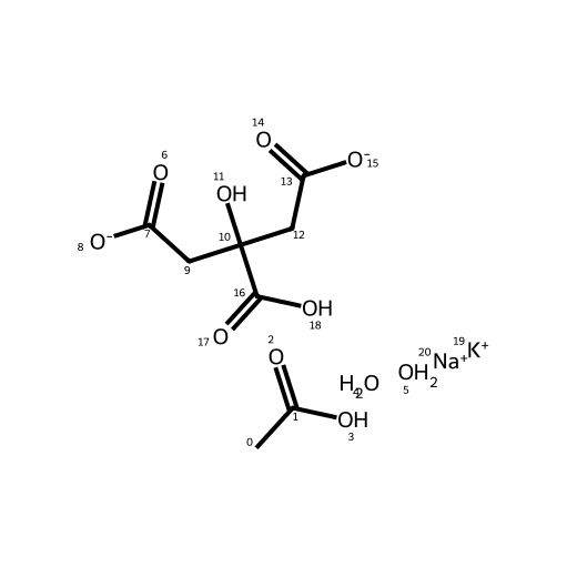 CC(=O)O.O.O.O=C([O-])CC(O)(CC(=O)[O-])C(=O)O.[K+].[Na+]